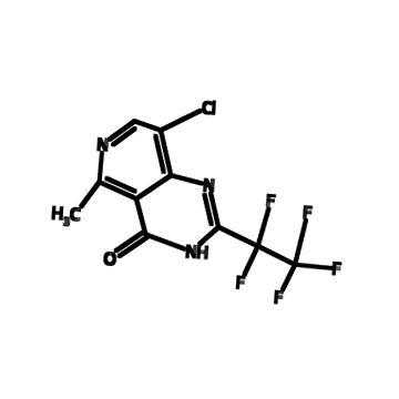 Cc1ncc(Cl)c2nc(C(F)(F)C(F)(F)F)[nH]c(=O)c12